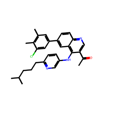 CC(=O)c1cnc2ccc(-c3cc(C)c(C)c(Cl)c3)cc2c1Nc1ccc(CCCC(C)C)nc1